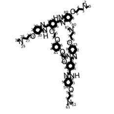 CN(C)CCCOc1ccc2nc(-c3ccc(-c4nc5ccc(OCCCN(C)C)cc5[nH]4)c(OCCOc4cccc(OCCOc5cc(-c6nc7ccc(OCCCN(C)C)cc7[nH]6)ccc5-c5nc6ccc(OCCCN(C)C)cc6[nH]5)c4)c3)[nH]c2c1